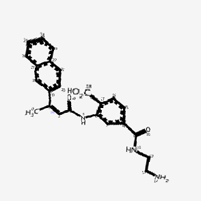 C/C(=C/C(=O)Nc1cc(C(=O)NCCN)ccc1C(=O)O)c1ccc2ccccc2c1